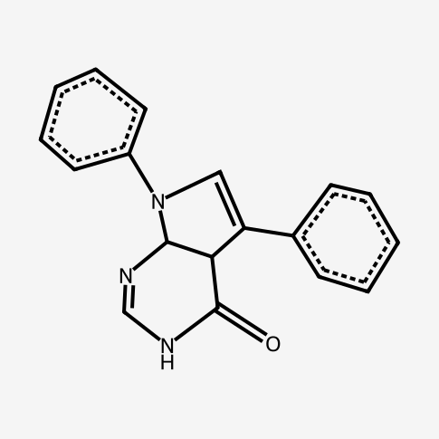 O=C1NC=NC2C1C(c1ccccc1)=CN2c1ccccc1